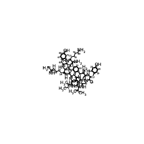 CC[C@H](C)[C@H](NC(=O)[C@@H](NC(=O)CNC(=O)[C@@H](Cc1ccc(O)cc1)NC(=O)[C@@H](N)Cc1ccccc1)C(C)C)C(=O)N[C@H](Cc1c[nH]cn1)C(=O)N[C@@H](CCCNC(=N)N)C(=O)N[C@@H](Cc1ccc(O)cc1)C(=O)N[C@@H](CCCCN)C(N)=O